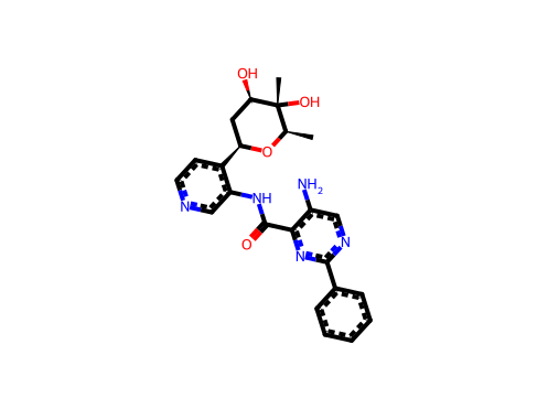 C[C@H]1O[C@@H](c2ccncc2NC(=O)c2nc(-c3ccccc3)ncc2N)C[C@@H](O)[C@]1(C)O